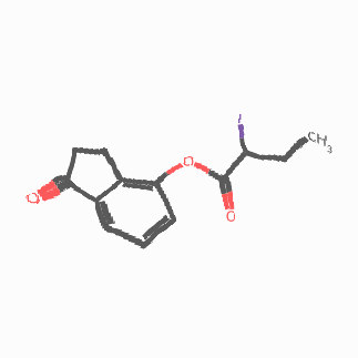 CCC(I)C(=O)Oc1cccc2c1CCC2=O